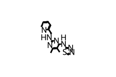 Cc1nc(NCc2ccccn2)nc(Nc2nncs2)c1C